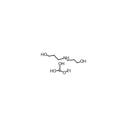 CCOB(O)O.OCCCNCCCO